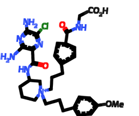 COc1ccc(CCC[N+]2(CCCc3ccc(C(=O)NCC(=O)O)cc3)CCCC(NC(=O)c3nc(Cl)c(N)nc3N)C2)cc1